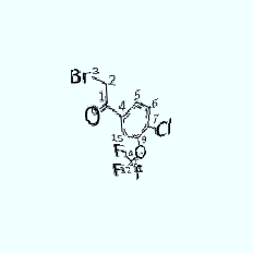 O=C(CBr)c1ccc(Cl)c(OC(F)(F)F)c1